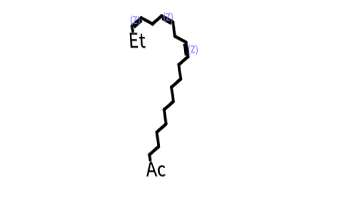 CC/C=C\C/C=C\C/C=C\CCCCCCCCCC(C)=O